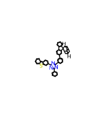 c1ccc(-c2nc(-c3cccc(-c4ccc5c(c4)C4(c6ccccc6-5)C5CC6C[C@H](C5)C[C@H]4C6)c3)nc(-c3ccc4c(c3)sc3ccccc34)n2)cc1